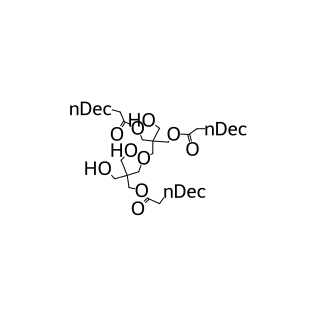 CCCCCCCCCCCC(=O)OCC(CO)(CO)COCC(CO)(COC(=O)CCCCCCCCCCC)COC(=O)CCCCCCCCCCC